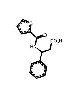 O=C(O)CC(NC(=O)c1ccco1)c1ccccc1